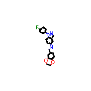 Fc1ccc(-n2ncc3cc(N=Cc4ccc5c(c4)OCCO5)ccc32)cc1